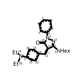 CCCCCCC1=NN(c2ccccc2)C(=O)/C1=C\c1ccc(N(CC)CC)cc1